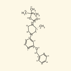 C[C@@H]1CN(c2ccnc(OCc3ccccc3)c2)CCN1C(=O)OC(C)(C)C